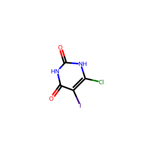 O=c1[nH]c(Cl)c(I)c(=O)[nH]1